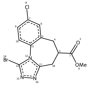 COC(=O)C1Cc2cc(Cl)ccc2-n2c(Br)nnc2C1